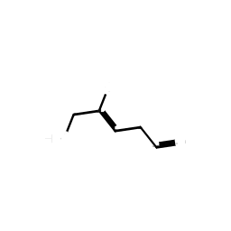 CCC(C)=CC[C]=O